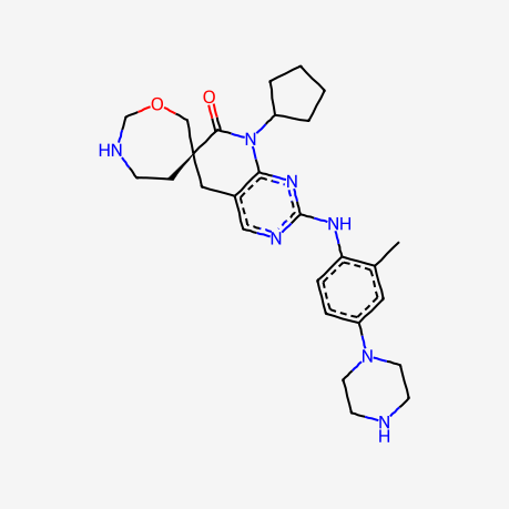 Cc1cc(N2CCNCC2)ccc1Nc1ncc2c(n1)N(C1CCCC1)C(=O)[C@]1(CCNCOC1)C2